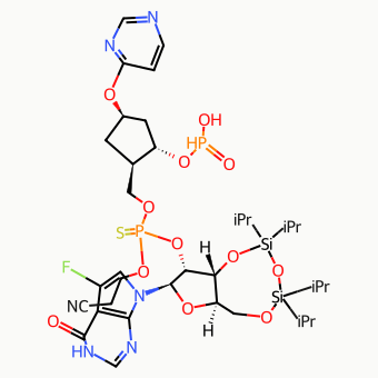 CC(C)[Si]1(C(C)C)OC[C@H]2O[C@@H](n3cc(F)c4c(=O)[nH]cnc43)[C@H](OP(=S)(OCCC#N)OC[C@H]3C[C@@H](Oc4ccncn4)C[C@@H]3O[PH](=O)O)[C@@H]2O[Si](C(C)C)(C(C)C)O1